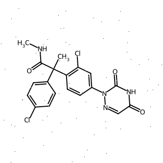 CNC(=O)C(C)(c1ccc(Cl)cc1)c1ccc(-n2ncc(=O)[nH]c2=O)cc1Cl